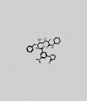 C[C@H](NC[C@@H](O)[C@H](Cc1ccccc1)NC(=O)c1cc(N(C)C)cc(N2CCCC2=O)c1)C(=O)NC1CCCCC1